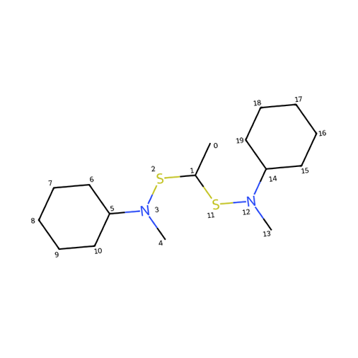 CC(SN(C)C1CCCCC1)SN(C)C1CCCCC1